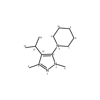 Cc1nn(C)c(N2CCCCC2)c1C(C)C